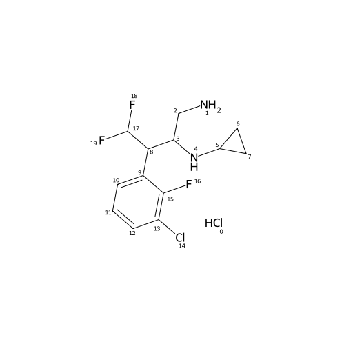 Cl.NCC(NC1CC1)C(c1cccc(Cl)c1F)C(F)F